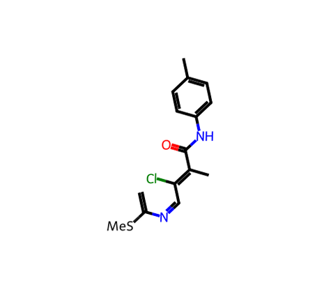 C=C(/N=C\C(Cl)=C(/C)C(=O)Nc1ccc(C)cc1)SC